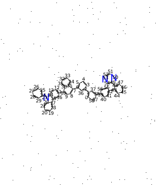 C1=C(c2cccc(-c3ccc(-c4ccc5c(c4)c4ccccc4n5-c4ccccc4)c4ccccc34)c2)C=C(c2ccc3c4ccccc4c4nccnc4c3c2)CC1